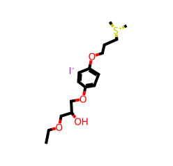 CCOCC(O)COc1ccc(OCCC[S+](C)C)cc1.[I-]